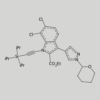 CCOC(=O)c1c(-c2cnn(C3CCCCO3)c2)c2ccc(Cl)c(Cl)c2n1C#C[Si](C(C)C)(C(C)C)C(C)C